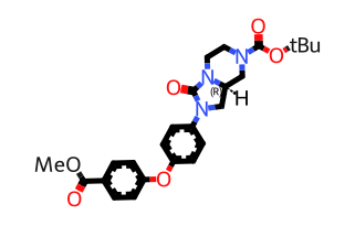 COC(=O)c1ccc(Oc2ccc(N3C[C@@H]4CN(C(=O)OC(C)(C)C)CCN4C3=O)cc2)cc1